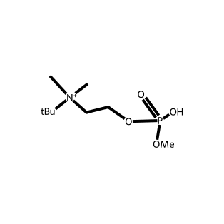 COP(=O)(O)OCC[N+](C)(C)C(C)(C)C